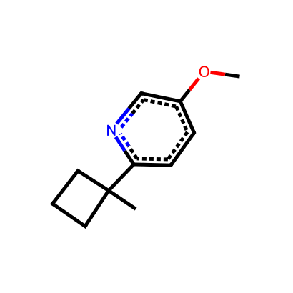 COc1ccc(C2(C)CCC2)nc1